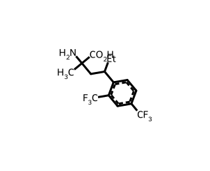 CCC(CC(C)(N)C(=O)O)c1ccc(C(F)(F)F)cc1C(F)(F)F